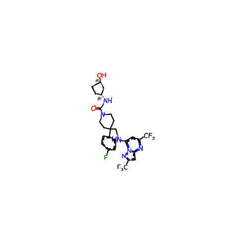 O=C(N[C@@H]1CC[C@@H](O)C1)N1CCC(CNc2cc(C(F)(F)F)nc3cc(C(F)(F)F)nn23)(c2ccc(F)cc2)CC1